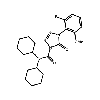 COc1cccc(F)c1-n1nnn(C(=O)N(C2CCCCC2)C2CCCCC2)c1=O